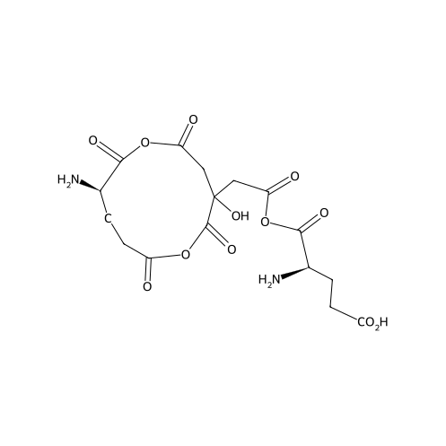 N[C@H](CCC(=O)O)C(=O)OC(=O)CC1(O)CC(=O)OC(=O)[C@H](N)CCC(=O)OC1=O